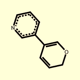 C1=CC(c2cccnc2)=COC1